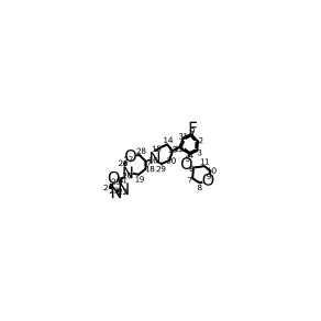 Fc1ccc(OC2CCOCC2)c(C2CCN([C@H]3CCN(c4nnco4)COC3)CC2)c1